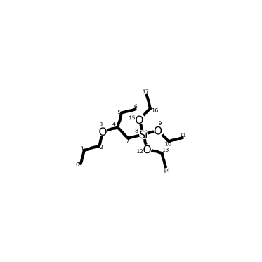 CCCOC(CC)C[Si](OCC)(OCC)OCC